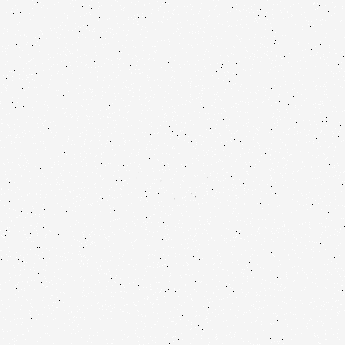 COc1ccnc(I)c1Cl